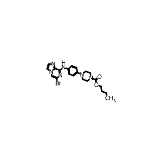 CCCCOC(=O)N1CCN(c2ccc(Nc3nc(Br)cn4ccnc34)cc2)CC1